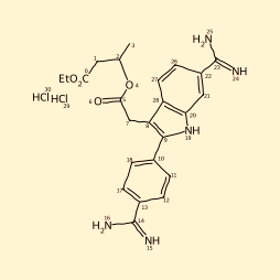 CCOC(=O)CC(C)OC(=O)Cc1c(-c2ccc(C(=N)N)cc2)[nH]c2cc(C(=N)N)ccc12.Cl.Cl